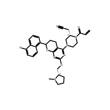 C=CC(=O)N1CCN(c2nc(OC[C@@H]3CCCN3C)nc3c2CCC(c2cccc4c(F)cccc24)O3)C[C@@H]1CC#N